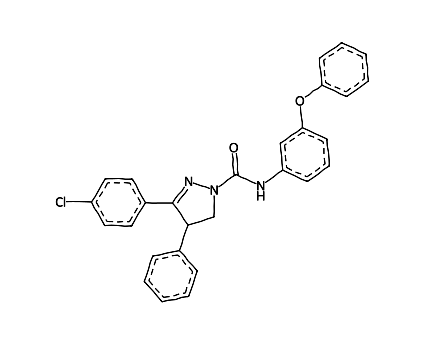 O=C(Nc1cccc(Oc2ccccc2)c1)N1CC(c2ccccc2)C(c2ccc(Cl)cc2)=N1